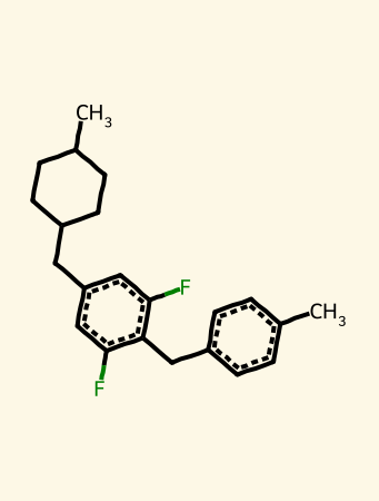 Cc1ccc(Cc2c(F)cc(CC3CCC(C)CC3)cc2F)cc1